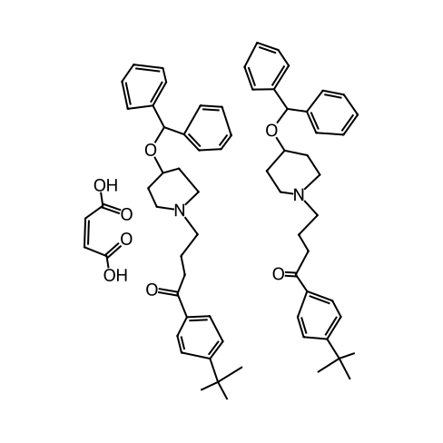 CC(C)(C)c1ccc(C(=O)CCCN2CCC(OC(c3ccccc3)c3ccccc3)CC2)cc1.CC(C)(C)c1ccc(C(=O)CCCN2CCC(OC(c3ccccc3)c3ccccc3)CC2)cc1.O=C(O)/C=C\C(=O)O